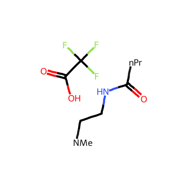 CCCC(=O)NCCNC.O=C(O)C(F)(F)F